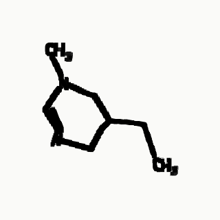 CCC1CN=CN(C)C1